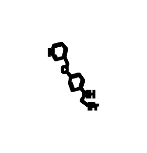 CC(C)CNc1ccc(OCc2cccnc2)cc1